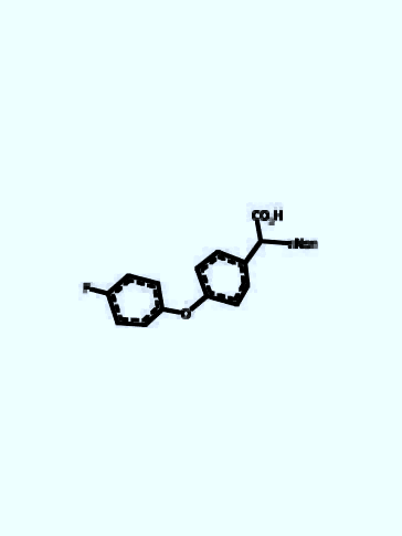 CCCCCCCCCC(C(=O)O)c1ccc(Oc2ccc(F)cc2)cc1